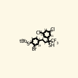 CC(C)(C)Sc1ccc(CCC(S)(c2cc(Cl)cc(Cl)c2)C(F)(F)F)cc1Br